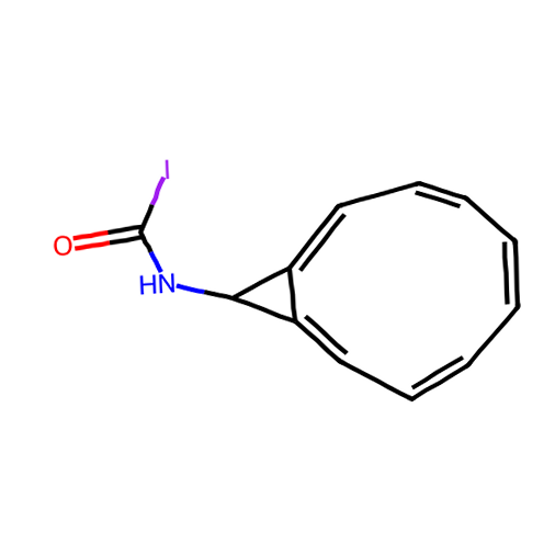 O=C(I)NC1c2ccccccccc21